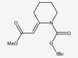 COC(=O)C=C1CCCCN1C(=O)OC(C)(C)C